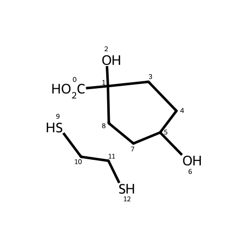 O=C(O)C1(O)CCC(O)CC1.SCCS